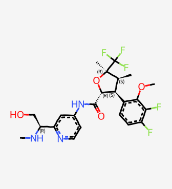 CN[C@@H](CO)c1cc(NC(=O)[C@@H]2O[C@@](C)(C(F)(F)F)[C@@H](C)[C@H]2c2ccc(F)c(F)c2OC)ccn1